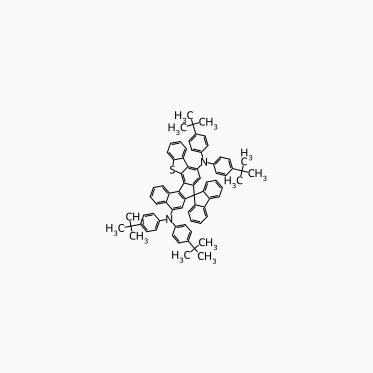 CC(C)(C)c1ccc(N(c2ccc(C(C)(C)C)cc2)c2cc3c(c4ccccc24)-c2c(cc(N(c4ccc(C(C)(C)C)cc4)c4ccc(C(C)(C)C)cc4)c4c2sc2ccccc24)C32c3ccccc3-c3ccccc32)cc1